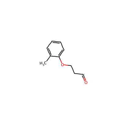 Cc1ccccc1OCC[C]=O